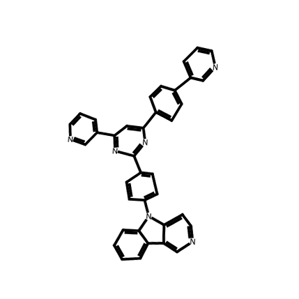 c1cncc(-c2ccc(-c3cc(-c4cccnc4)nc(-c4ccc(-n5c6ccccc6c6cnccc65)cc4)n3)cc2)c1